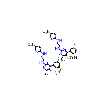 CCc1nc(NCCNc2ccc([N+](=O)[O-])cn2)nc(-c2cc(Cl)cc(Cl)c2)c1C(=O)O.CCc1nc(NCCNc2ccc([N+](=O)[O-])cn2)nc(-c2cccc(F)c2)c1C(=O)O